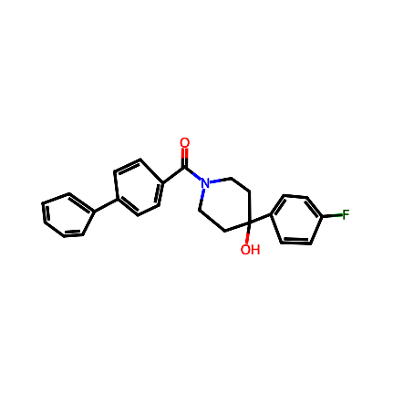 O=C(c1ccc(-c2ccccc2)cc1)N1CCC(O)(c2ccc(F)cc2)CC1